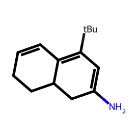 CC(C)(C)C1=C2C=CCCC2CC(N)=C1